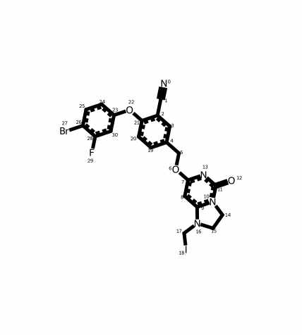 N#Cc1cc(COc2cc3n(c(=O)n2)CCN3CI)ccc1Oc1ccc(Br)c(F)c1